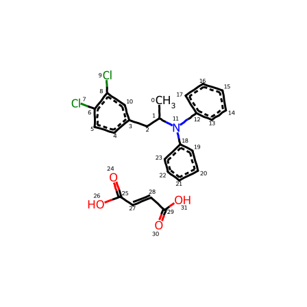 CC(Cc1ccc(Cl)c(Cl)c1)N(c1ccccc1)c1ccccc1.O=C(O)C=CC(=O)O